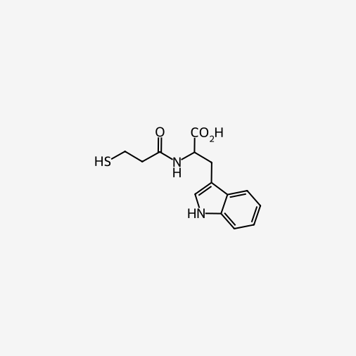 O=C(CCS)NC(Cc1c[nH]c2ccccc12)C(=O)O